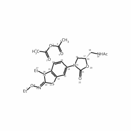 CC(=O)OC(C)=O.CCON=c1sc2cc(N3C[C@H](CNC(C)=O)OC3=O)ccc2n1CC